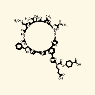 CNC(=O)C[C@@H]1NOCc2csc(n2)-c2ccc(-c3nc(N(CCCC(=O)O)C(=O)O[C@H]4CC[C@H](C(=O)O)CC4)cs3)nc2-c2csc(n2)-c2csc(n2)[C@H]([C@@H](O)c2ccccc2)NC(=O)CNC(=O)c2nc(sc2COC)C(C(C)C)NC(=O)c2nc1sc2C